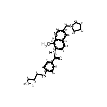 CCCCSc1ccc(C(=O)Nc2ccc3cc(CN4CCCC4)cnc3c2C)cc1